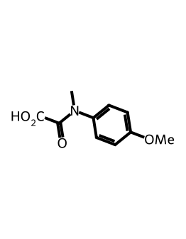 COc1ccc(N(C)C(=O)C(=O)O)cc1